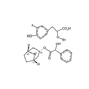 CCOC(Cc1ccc(O)c(I)c1)C(=O)O.CN1[C@@H]2CC[C@H]1C[C@@H](OC(=O)C(O)c1ccccc1)C2